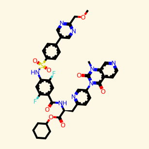 COCc1ncc(-c2ccc(S(=O)(=O)Nc3cc(F)c(C(=O)N[C@@H](Cc4ccc(-n5c(=O)c6ccncc6n(C)c5=O)cn4)C(=O)OC4CCCCC4)cc3F)cc2)cn1